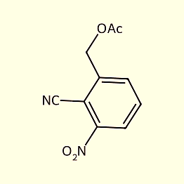 CC(=O)OCc1cccc([N+](=O)[O-])c1C#N